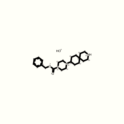 Cl.O=C(OCc1ccccc1)N1CCN(C2CCC3(CCNCC3)CC2)CC1